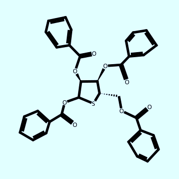 O=C(OC[C@@H]1SC(OC(=O)c2ccccc2)[C@@H](OC(=O)c2ccccc2)[C@H]1OC(=O)c1ccccc1)c1ccccc1